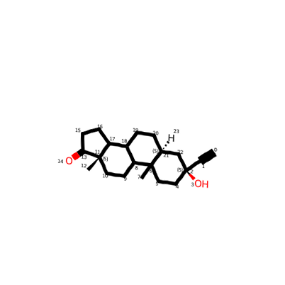 C#C[C@]1(O)CCC2(C)C3CC[C@]4(C)C(=O)CCC4C3CC[C@H]2C1